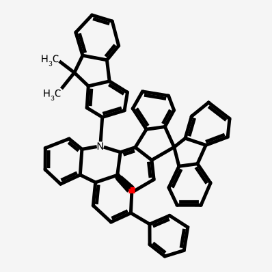 CC1(C)c2ccccc2-c2ccc(N(c3ccccc3-c3ccc(-c4ccccc4)cc3)c3cccc4c3-c3ccccc3C43c4ccccc4-c4ccccc43)cc21